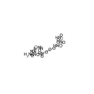 CN1CCN([C@@H]2CCCN(c3cnc(C(N)=O)c(Nc4ccc(C(=O)NCCOCCOCCOCCNc5cccc6c5C(=O)N(C5CCC(=O)NC5=O)C6=O)cc4)n3)C2)C1=O